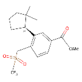 COC(=O)c1ccc(CS(=O)(=O)C(F)(F)F)c([C@H]2CCCC2(C)C)c1